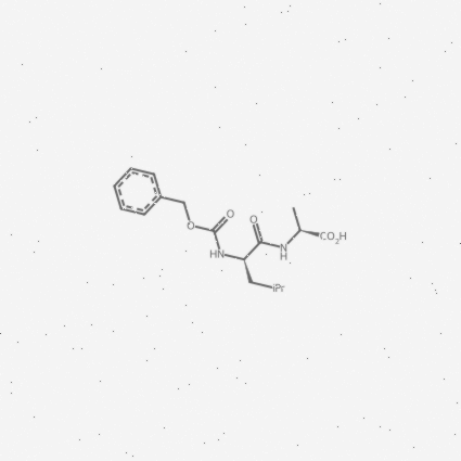 CC(C)C[C@@H](NC(=O)OCc1ccccc1)C(=O)N[C@@H](C)C(=O)O